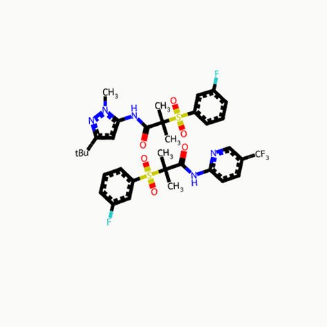 CC(C)(C(=O)Nc1ccc(C(F)(F)F)cn1)S(=O)(=O)c1cccc(F)c1.Cn1nc(C(C)(C)C)cc1NC(=O)C(C)(C)S(=O)(=O)c1cccc(F)c1